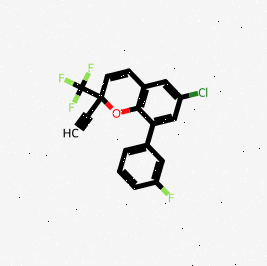 C#CC1(C(F)(F)F)C=Cc2cc(Cl)cc(-c3cccc(F)c3)c2O1